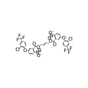 O=C(OC/C=C/COC(=O)c1cc(Oc2ccc(C(F)(F)F)cc2Cl)ccc1[N+](=O)[O-])c1cc(Oc2ccc(C(F)(F)F)cc2Cl)ccc1[N+](=O)[O-]